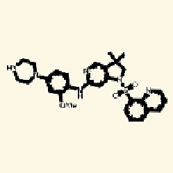 COc1cc(N2CCNCC2)ccc1Nc1cc2c(cn1)C(C)(C)CN2S(=O)(=O)c1cccc2cccnc12